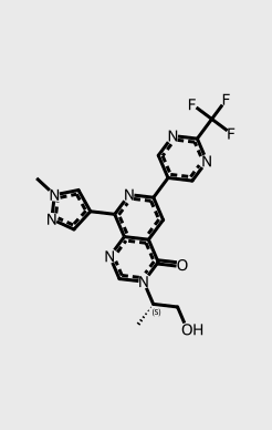 C[C@@H](CO)n1cnc2c(-c3cnn(C)c3)nc(-c3cnc(C(F)(F)F)nc3)cc2c1=O